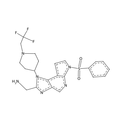 NCc1nc2cnc3c(ccn3S(=O)(=O)c3ccccc3)c2n1C1CCN(CC(F)(F)F)CC1